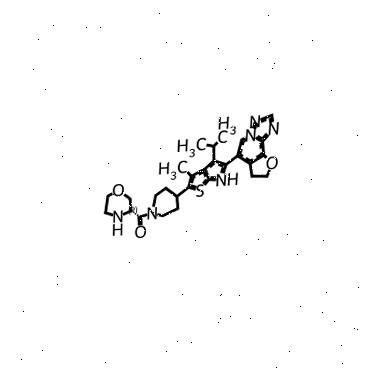 Cc1c(C2CCN(C(=O)[C@H]3COCCN3)CC2)sc2[nH]c(-c3cn4ncnc4c4c3CCO4)c(C(C)C)c12